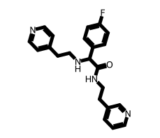 O=C(NCCc1cccnc1)C(NCCc1ccncc1)c1ccc(F)cc1